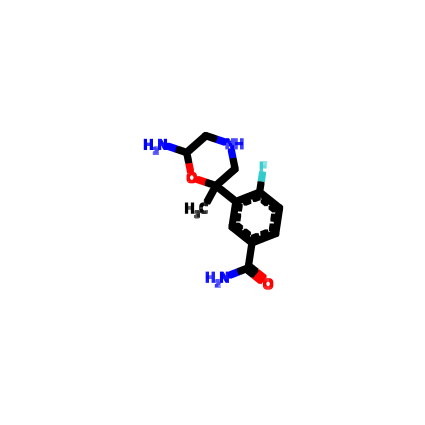 CC1(c2cc(C(N)=O)ccc2F)CNCC(N)O1